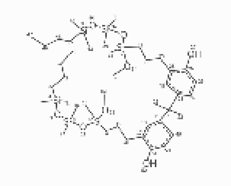 CCCC[Si](C)(C)O[Si](C)(C)O[Si](C)(CCCc1cc(C(C)(C)c2ccc(O)c(CCC[Si](C)(OC)O[Si](C)(C)O[Si](C)(C)CCCC)c2)ccc1O)OC